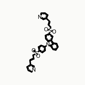 O=S(=O)(CC=Cc1cccnc1)c1ccc(-n2c3ccccc3c3cc(S(=O)(=O)CC=Cc4cccnc4)ccc32)cc1